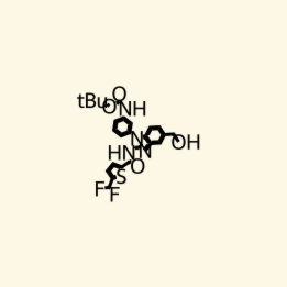 CC(C)(C)OC(=O)Nc1cccc(-n2c(NC(=O)c3ccc(C(F)F)s3)nc3cc(CO)ccc32)c1